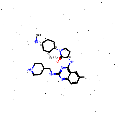 CC(=O)N[C@@H]1C[C@H](NC(C)(C)C)CC[C@@H]1N1CC[C@H](Nc2nc(NCC3CCNCC3)nc3ccc(C(F)(F)F)cc23)C1=O